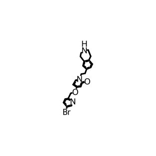 O=c1cc(OCc2ccc(Br)cn2)ccn1CCc1ccc2c(c1)CCNCC2